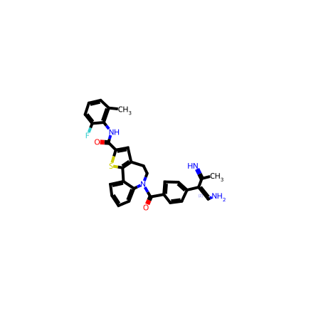 CC(=N)/C(=C\N)c1ccc(C(=O)N2CCc3cc(C(=O)Nc4c(C)cccc4F)sc3-c3ccccc32)cc1